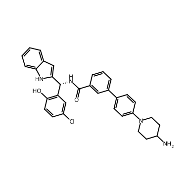 NC1CCN(c2ccc(-c3cccc(C(=O)N[C@@H](c4cc5ccccc5[nH]4)c4cc(Cl)ccc4O)c3)cc2)CC1